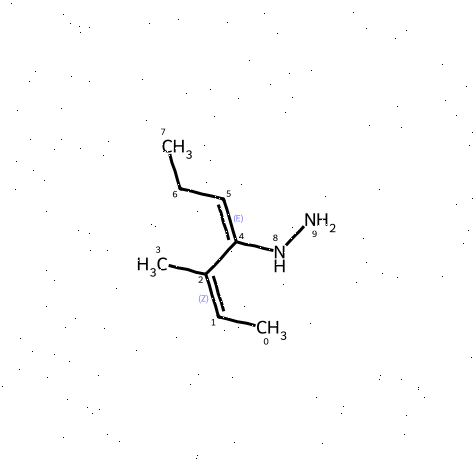 C/C=C(C)\C(=C/CC)NN